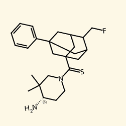 CC1(C)CN(C(=S)C23CC4CC(c5ccccc5)(CC(C2)C4CF)C3)CC[C@@H]1N